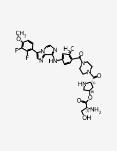 COc1ccc(-c2cnc3c(Nc4ccc(C(=O)N5CCN(C(=O)[C@@H]6C[C@@H](OC(=O)[C@@H](N)CO)CN6)CC5)c(C)c4)nccn23)c(F)c1F